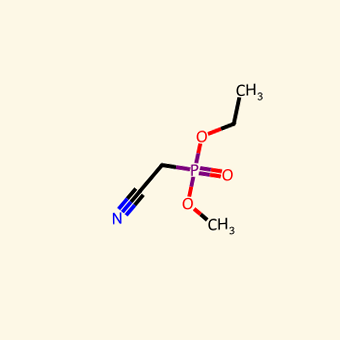 CCOP(=O)(CC#N)OC